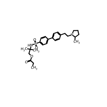 CCC(=O)OCC(C)(C)NS(=O)(=O)c1ccc(-c2ccc(CCN3CCCC3C)cc2)cc1